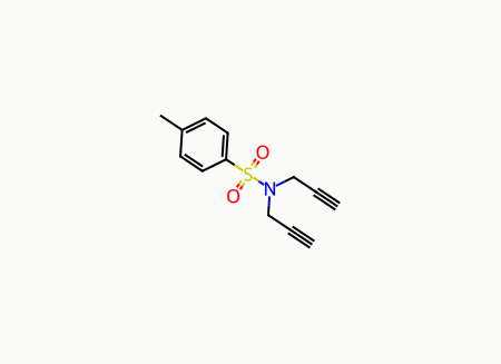 C#CCN(CC#C)S(=O)(=O)c1ccc(C)cc1